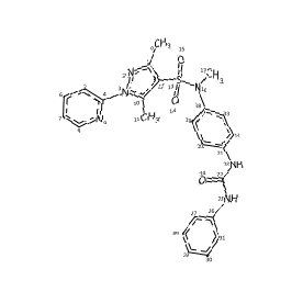 Cc1nn(-c2ccccn2)c(C)c1S(=O)(=O)N(C)c1ccc(NC(=O)Nc2ccccc2)cc1